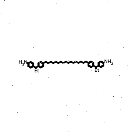 CCC(c1ccc(N)cc1)c1ccc(CCCCCCCCCCCCCCCCCc2ccc(C(CC)c3ccc(N)cc3)cc2)cc1